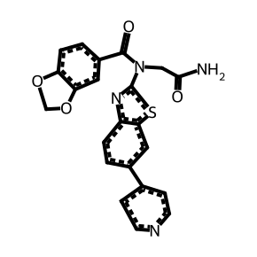 NC(=O)CN(C(=O)c1ccc2c(c1)OCO2)c1nc2ccc(-c3ccncc3)cc2s1